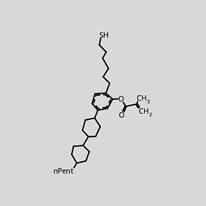 C=C(C)C(=O)Oc1cc(C2CCC(C3CCC(CCCCC)CC3)CC2)ccc1CCCCCCS